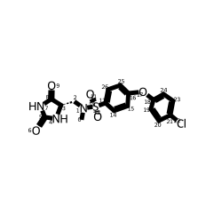 CN(C[C@@H]1NC(=O)NC1=O)S(=O)(=O)c1ccc(Oc2ccc(Cl)cc2)cc1